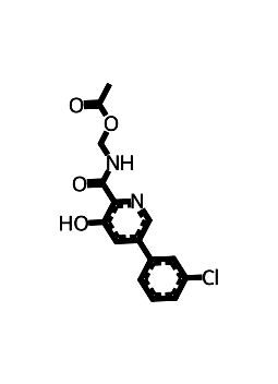 CC(=O)OCNC(=O)c1ncc(-c2cccc(Cl)c2)cc1O